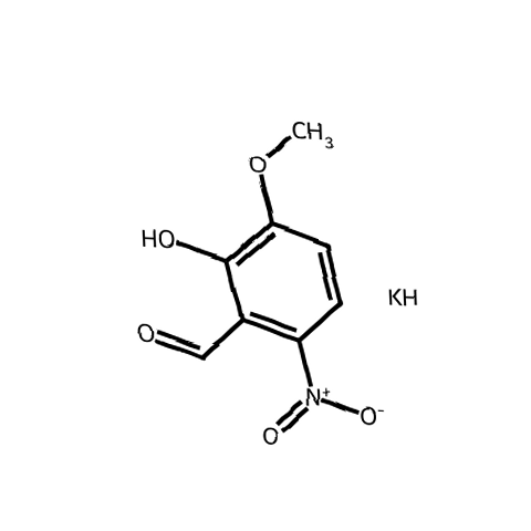 COc1ccc([N+](=O)[O-])c(C=O)c1O.[KH]